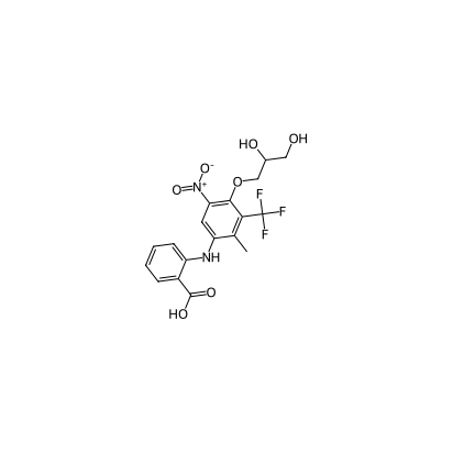 Cc1c(Nc2ccccc2C(=O)O)cc([N+](=O)[O-])c(OCC(O)CO)c1C(F)(F)F